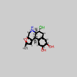 CCc1cc2c(o1)CN[C@H]1CCc3cc(O)c(O)cc3[C@H]21.Cl